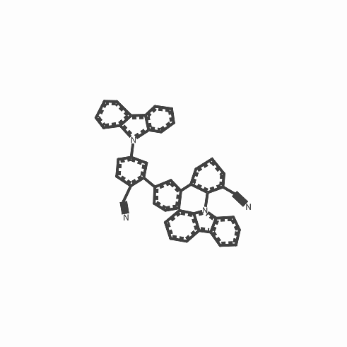 N#Cc1ccc(-n2c3ccccc3c3ccccc32)cc1-c1cccc(-c2cccc(C#N)c2-n2c3ccccc3c3ccccc32)c1